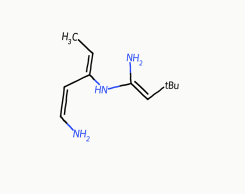 C/C=C(\C=C/N)N/C(N)=C/C(C)(C)C